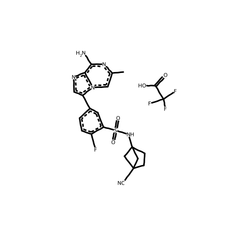 Cc1cn2c(-c3ccc(F)c(S(=O)(=O)NC45CCC(C#N)(C4)C5)c3)cnc2c(N)n1.O=C(O)C(F)(F)F